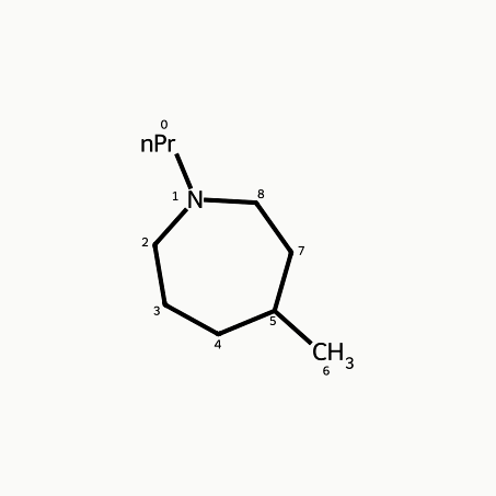 CCCN1CCCC(C)CC1